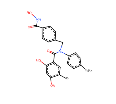 COc1ccc(N(Cc2ccc(C(=O)NO)cc2)C(=O)c2cc(C(C)C)c(O)cc2O)cc1